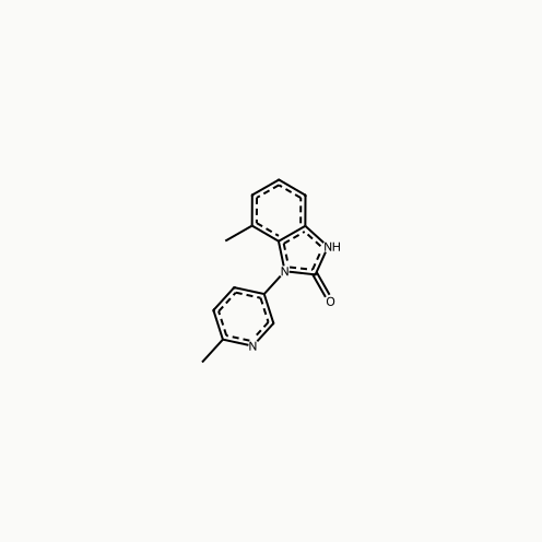 Cc1ccc(-n2c(=O)[nH]c3cccc(C)c32)cn1